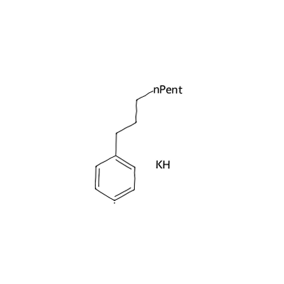 CCCCCCCCc1cc[c]cc1.[KH]